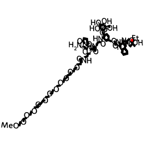 CCOCc1nc2c(NC(=O)OCc3ccc(O[C@H]4O[C@H](CO)[C@@H](O)[C@H](O)[C@@H]4O)c(NC(=O)CCNC(=O)[C@H](CCCCNC(=O)CCOCCOCCOCCOCCOCCOCCOCCOCCOCCOCCOCCOC)NC(=O)[C@H](CN)N4C(=O)C=CC4=O)c3)nc3ccccc3c2n1CC(C)(C)O